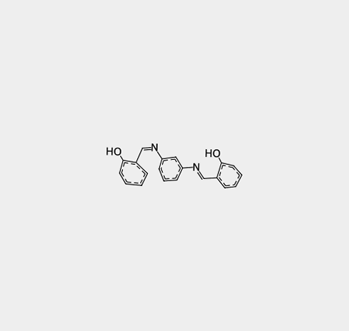 Oc1ccccc1/C=N\c1cccc(/N=C/c2ccccc2O)c1